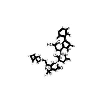 Cc1cc(-c2c(C)ccc(F)c2C)cc(C(CC(=O)O)NC(=O)C(CC(C)C)n2cc(CCN3CC4(CCC4)C3)c(C(F)(F)F)cc2=O)c1F